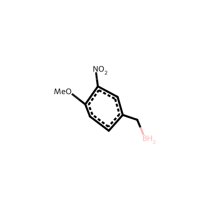 BCc1ccc(OC)c([N+](=O)[O-])c1